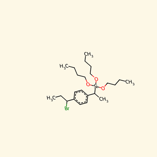 CCCCO[Si](OCCCC)(OCCCC)C(C)c1ccc(C(Br)CC)cc1